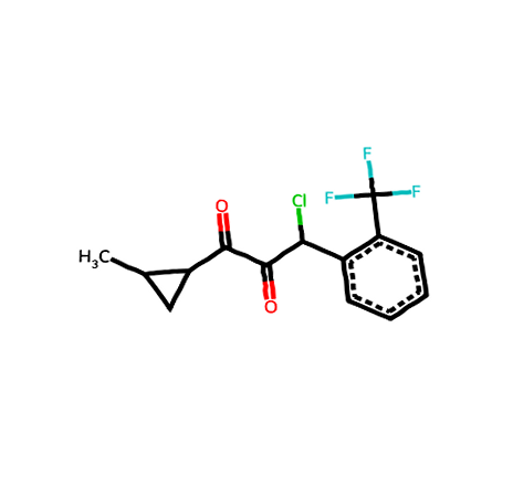 CC1CC1C(=O)C(=O)C(Cl)c1ccccc1C(F)(F)F